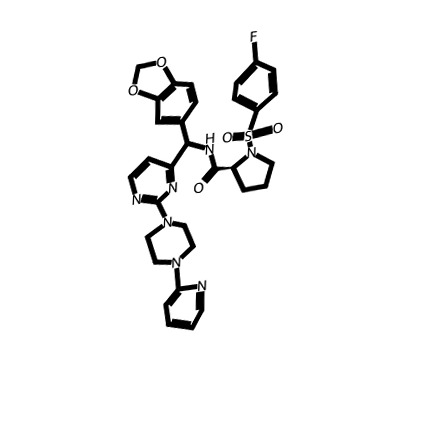 O=C(NC(c1ccc2c(c1)OCO2)c1ccnc(N2CCN(c3ccccn3)CC2)n1)[C@@H]1CCCN1S(=O)(=O)c1ccc(F)cc1